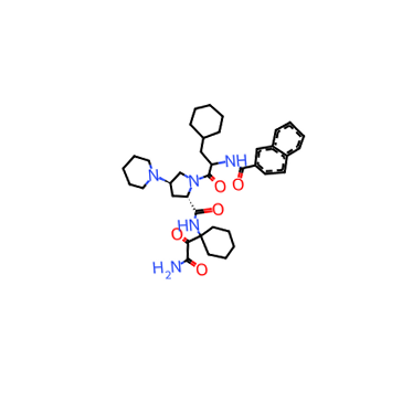 NC(=O)C(=O)C1(NC(=O)[C@@H]2C[C@@H](N3CCCCC3)CN2C(=O)C(CC2CCCCC2)NC(=O)c2ccc3ccccc3c2)CCCCC1